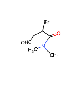 CC(C)C(CC=O)C(=O)N(C)C